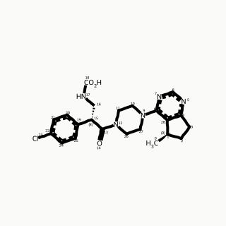 C[C@@H]1CCc2ncnc(N3CCN(C(=O)[C@@H](CNC(=O)O)c4ccc(Cl)cc4)CC3)c21